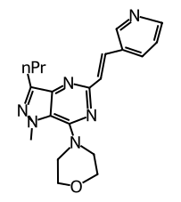 CCCc1nn(C)c2c(N3CCOCC3)nc(/C=C/c3cccnc3)nc12